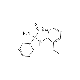 CCc1cccc(C)c1NC(N)(C(N)=O)c1ccccc1